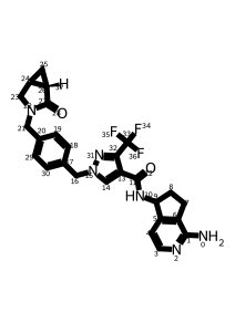 Nc1nccc2c1CCC2NC(=O)c1cn(Cc2ccc(CN3CC4C[C@@H]4C3=O)cc2)nc1C(F)(F)F